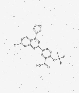 O=C(O)c1cc(-c2cc(-n3ccnc3)c3ccc(Cl)cc3n2)ccc1OC(F)(F)F